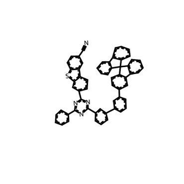 N#Cc1ccc2sc3cc(-c4nc(-c5ccccc5)nc(-c5cccc(-c6cccc(-c7ccc8c(c7)-c7ccccc7C87c8ccccc8-c8ccccc87)c6)c5)n4)ccc3c2c1